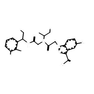 CC(CO)N(CC(=O)NC(CO)c1cccc(Cl)c1F)C(=O)Cn1nc(C(N)=O)c2cc(N)ccc21